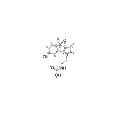 Cc1nn(CCNC(=O)O)c2c1S(=O)(=O)c1ccc(Cl)cc1-2